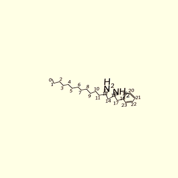 CCCCCCCCCCCCC(N)CC(N)Cc1ccccc1